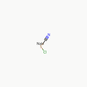 N#CSCl.[NaH]